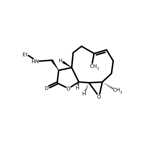 CCNC[C@@H]1C(=O)O[C@H]2[C@H]1CC/C(C)=C/CC[C@@]1(C)O[C@@H]21